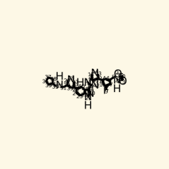 CS(=O)(=O)NCc1cc(F)cc(-c2cncc3[nH]c(-c4n[nH]c5ccc(-c6cncc(CNCC7CCCC7)c6)cc45)nc23)c1